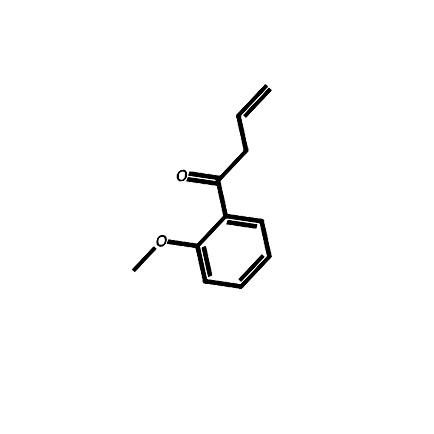 C=CCC(=O)c1ccccc1OC